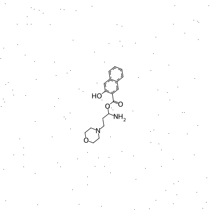 NC(CCN1CCOCC1)OC(=O)c1cc2ccccc2cc1O